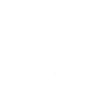 C=C(Cc1ccc(S(N)(=O)=O)cc1)C(=O)O